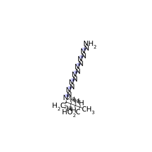 [2H]C([2H])(C(=C)/N=N/N=N/N=N/N=N/N=N/N=N/N=N/N)C([2H])([2H])C([2H])(C)C(=O)O